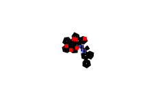 C#C/C(=C\C=C(/C)N(c1ccccc1C1=CC=CCC1)c1cccc2c1-c1ccccc1C21c2ccccc2-c2ccccc21)c1ccc(-c2ccccc2)c2ccccc12